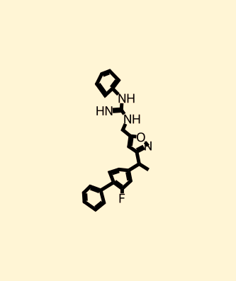 CC(c1ccc(-c2ccccc2)c(F)c1)c1cc(CNC(=N)Nc2ccccc2)on1